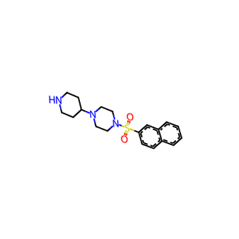 O=S(=O)(c1ccc2ccccc2c1)N1CCN(C2CCNCC2)CC1